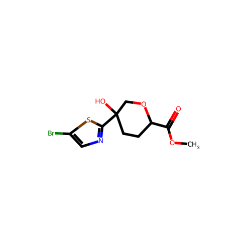 COC(=O)C1CCC(O)(c2ncc(Br)s2)CO1